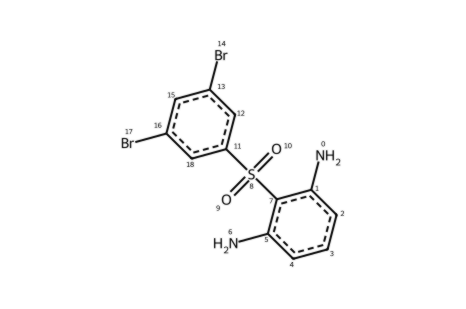 Nc1cccc(N)c1S(=O)(=O)c1cc(Br)cc(Br)c1